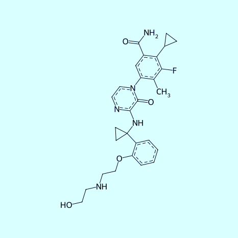 Cc1c(-n2ccnc(NC3(c4ccccc4OCCNCCO)CC3)c2=O)cc(C(N)=O)c(C2CC2)c1F